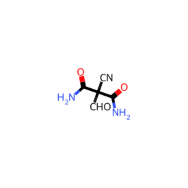 N#CC(C=O)(C(N)=O)C(N)=O